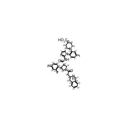 Cc1ccc(-n2ccnc2NC(=O)[C@@H]2CN(C(=O)CC3Cc4ccccc4CN3)C[C@H]2c2ccc(F)cc2F)c(N2CCC(C(=O)O)CC2)c1